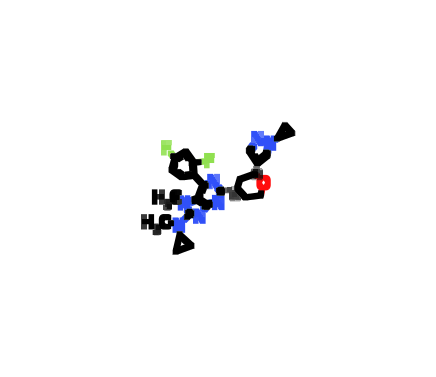 CN(c1nc2nc([C@H]3CCO[C@@H](c4cnn(C5CC5)c4)C3)nc(-c3ccc(F)cc3F)c2n1C)C1CC1